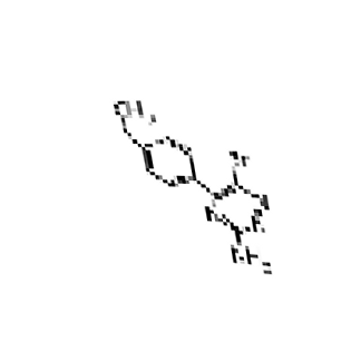 CCc1ccc(-c2nc(N)nnc2Br)cc1